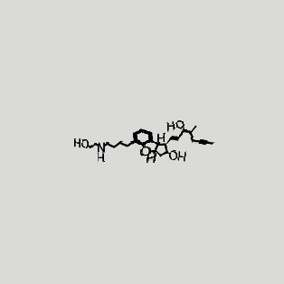 CC#CC[C@H](C)[C@H](O)/C=C/[C@@H]1[C@H]2c3cccc(CCCCNCCO)c3O[C@H]2C[C@H]1O